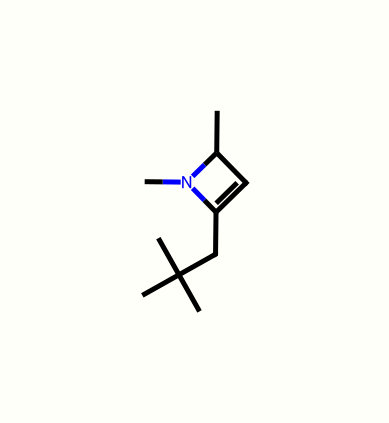 CC1C=C(CC(C)(C)C)N1C